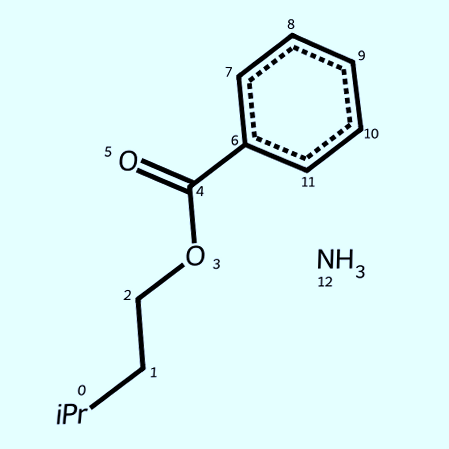 CC(C)CCOC(=O)c1ccccc1.N